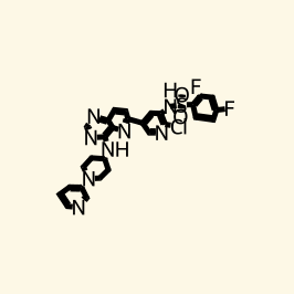 O=S(=O)(Nc1cc(-c2ccc3ncnc(NC4CCN(c5cccnc5)CC4)c3n2)cnc1Cl)c1ccc(F)cc1F